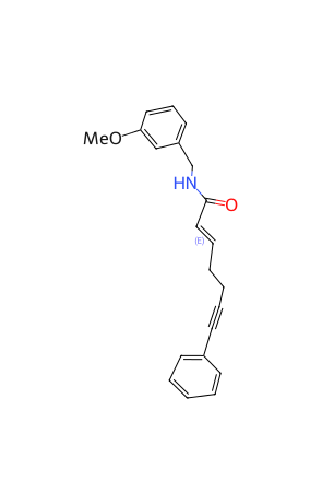 COc1cccc(CNC(=O)/C=C/CCC#Cc2ccccc2)c1